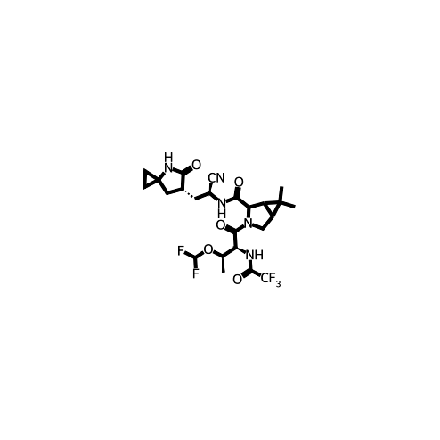 C[C@@H](OC(F)F)[C@H](NC(=O)C(F)(F)F)C(=O)N1CC2C(C1C(=O)N[C@H](C#N)C[C@@H]1CC3(CC3)NC1=O)C2(C)C